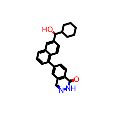 O=c1[nH]ncc2cc(-c3cccc4cc(C(O)C5CCCCC5)ccc34)ccc12